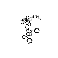 C=CC[C@@H]1O[C@H](C[C@H](COC(=O)c2ccccc2)OC(=O)c2ccccc2)[C@H](OCCCC)[C@H]1O